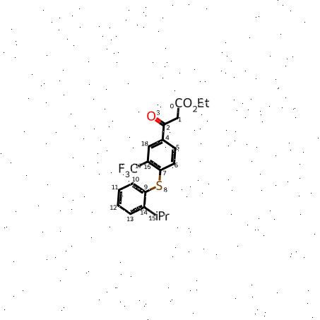 CCOC(=O)CC(=O)c1ccc(Sc2ccccc2C(C)C)c(C(F)(F)F)c1